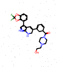 O=C(C1C=CC=C(C2=Cc3c(-c4cccc5c4OC(F)(F)O5)c[nH]c3NC2)C1)N1CCN(CCO)CC1